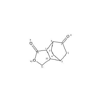 O=C1CC2CCC1C1C(=O)OCC21